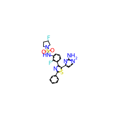 Nc1nccc(-c2sc(-c3ccccc3)nc2-c2cccc(NS(=O)(=O)N3CC[C@@H](F)C3)c2F)n1